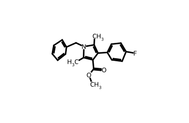 COC(=O)c1c(-c2ccc(F)cc2)c(C)n(Cc2ccccc2)c1C